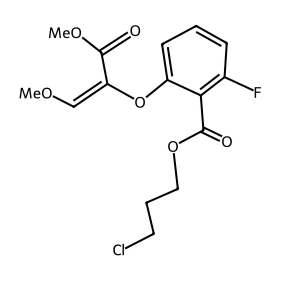 CO/C=C(/Oc1cccc(F)c1C(=O)OCCCCl)C(=O)OC